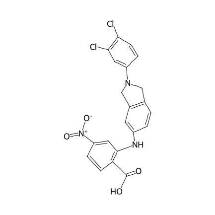 O=C(O)c1ccc([N+](=O)[O-])cc1Nc1ccc2c(c1)CN(c1ccc(Cl)c(Cl)c1)C2